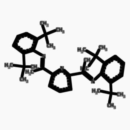 C/C(=N\c1c(C(C)(C)C)cccc1C(C)(C)C)c1cccc(/C(C)=N/c2c(C(C)(C)C)cccc2C(C)(C)C)n1